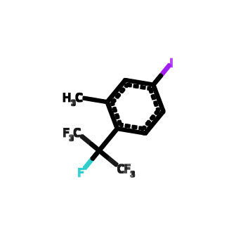 Cc1cc(I)ccc1C(F)(C(F)(F)F)C(F)(F)F